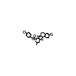 COc1ccc2c(c1)CCc1nc(NC(=O)Cc3ccc(Cl)cc3)c(C=C(C)C)nc1-2